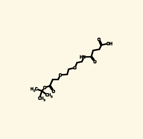 CC(C)(C)OC(=O)CCOCCOCCNC(=O)CCC(=O)O